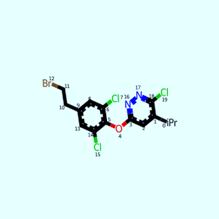 CC(C)c1cc(Oc2c(Cl)cc(CCBr)cc2Cl)nnc1Cl